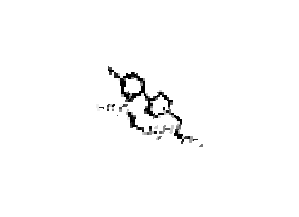 C=CCN1CC=C(c2ccc(F)cc2)CC1.O=C(O)/C=C/C(=O)O